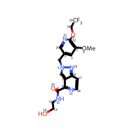 COc1cc(Cn2cc3c(C(=O)NCCO)nccc3n2)cnc1OCC(F)(F)F